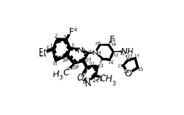 CCc1cc(F)c2nc(N3CC[C@H](N[C@@H]4CCOC4)[C@@H](F)C3)c(-c3cc(C)no3)c(C)c2c1